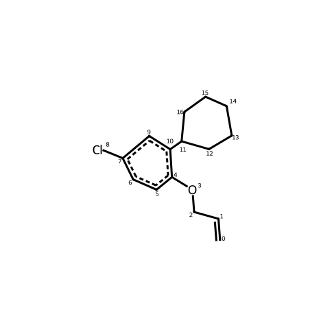 C=CCOc1ccc(Cl)cc1C1CCCCC1